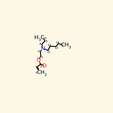 C=CC(=O)OCCN(CCC)CCCCC